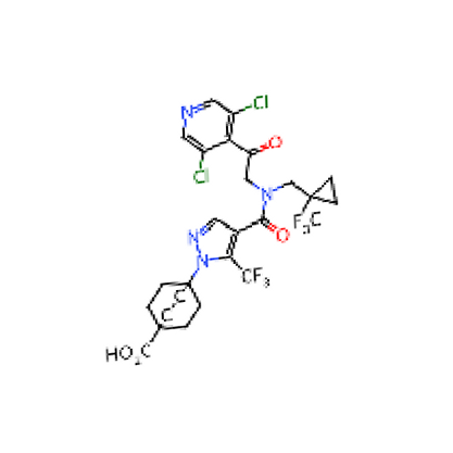 O=C(CN(CC1(C(F)(F)F)CC1)C(=O)c1cnn(C23CCC(C(=O)O)(CC2)CC3)c1C(F)(F)F)c1c(Cl)cncc1Cl